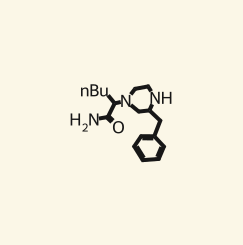 CCCCC(C(N)=O)N1CCNC(Cc2ccccc2)C1